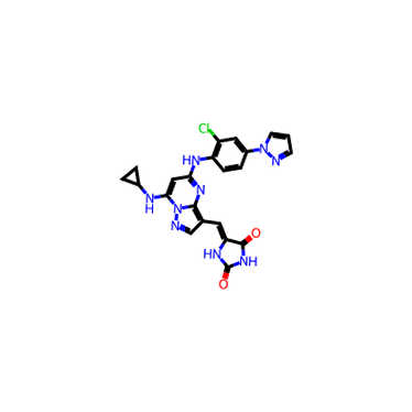 O=C1NC(=O)/C(=C/c2cnn3c(NC4CC4)cc(Nc4ccc(-n5cccn5)cc4Cl)nc23)N1